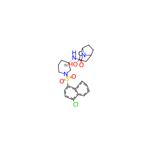 O=C(N[C@H]1CCCN(S(=O)(=O)c2ccc(Cl)c3ccccc23)C1)N1C2CCC1CC(O)C2